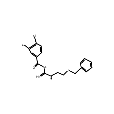 N=C(NCCSCc1ccccc1)NC(=O)c1ccc(Cl)c(Cl)c1